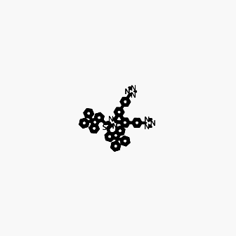 c1ccc(C2(c3ccccc3)c3ccccc3-c3c(-c4sc(-c5cccc6c5-c5ccccc5C6(c5ccccc5)c5ccccc5)c5nc6c7ccc(-c8ccc(-c9ncncn9)cc8)cc7c7cc(-c8ccc(-c9ncncn9)cc8)ccc7c6nc45)cccc32)cc1